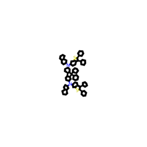 c1ccc(-c2sc3cc(N(c4ccc5c(c4)C(c4ccccc4)(c4ccccc4)c4cc(N(c6ccc7ccccc7c6)c6ccc7c(-c8ccccc8)c(-c8ccccc8)sc7c6)ccc4-5)c4ccc5ccccc5c4)ccc3c2-c2ccccc2)cc1